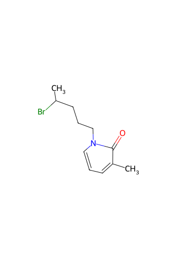 Cc1cccn(CCCC(C)Br)c1=O